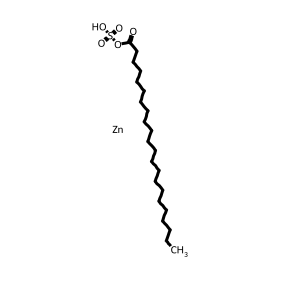 CCCCCCCCCCCCCCCCCCCCCC(=O)OS(=O)(=O)O.[Zn]